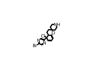 ClC1(c2cnc(Br)cn2)C=CC=C2OC3(CCNCC3)CCC21